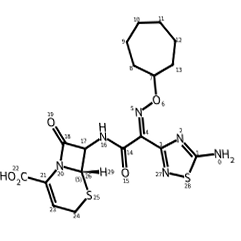 Nc1nc(C(=NOC2CCCCCC2)C(=O)NC2C(=O)N3C(C(=O)O)=CCS[C@@H]23)ns1